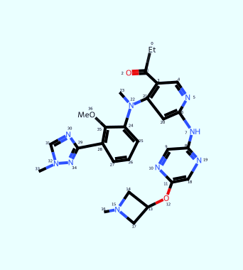 CCC(=O)c1cnc(Nc2cnc(OC3CN(C)C3)cn2)cc1N(C)c1cccc(-c2ncn(C)n2)c1OC